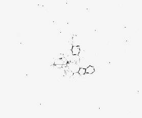 O=C(N[C@H](C(=O)O)C12C[C@H]3C[C@@H](C1)C[C@](O)(C3)C2)c1sc2ccccc2c1OCc1ccc(OC(F)(F)F)cc1